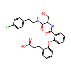 O=C(O)CCc1ccccc1Oc1ccccc1C(=O)NC(CO)C(=O)NCCc1ccc(Cl)cc1